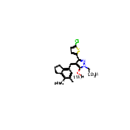 COc1c(C)cc(Cc2c(-c3ccc(Cl)s3)nn(CC(=O)O)c2OC(=O)O)c2c1CCC2